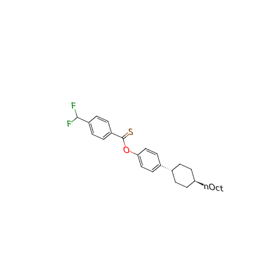 CCCCCCCC[C@H]1CC[C@H](c2ccc(OC(=S)c3ccc(C(F)F)cc3)cc2)CC1